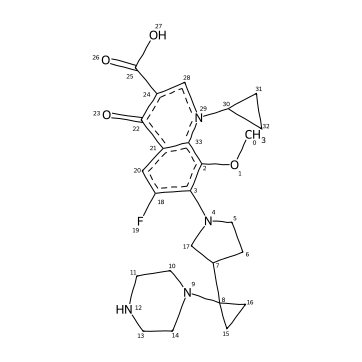 COc1c(N2CCC(C3(N4CCNCC4)CC3)C2)c(F)cc2c(=O)c(C(=O)O)cn(C3CC3)c12